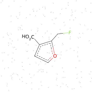 O=C(O)c1ccoc1CF